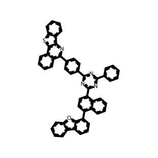 c1ccc(-c2nc(-c3ccc(-c4nc5c6ccccc6sc5c5ccccc45)cc3)nc(-c3ccc(-c4cccc5c4oc4ccccc45)c4ccccc34)n2)cc1